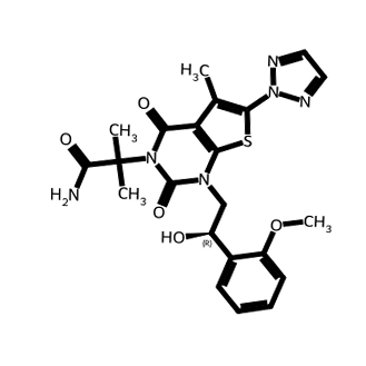 COc1ccccc1[C@@H](O)Cn1c(=O)n(C(C)(C)C(N)=O)c(=O)c2c(C)c(-n3nccn3)sc21